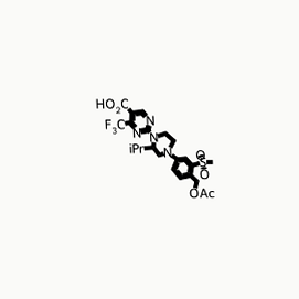 CC(=O)OCc1ccc(N2CCN(c3ncc(C(=O)O)c(C(F)(F)F)n3)C(C(C)C)C2)cc1S(C)(=O)=O